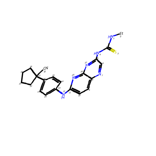 CCNC(=S)Nc1cnc2ccc(Nc3ccc(C4(C#N)CCCC4)cc3)nc2n1